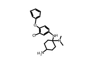 CN(C)C1(Nc2ccc(Oc3ccccc3)c(Cl)c2)CCC(N)CC1